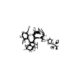 C=CS(=O)(=O)N1CC[C@@H](Oc2cnccc2-c2[nH]c3cccnc3c2-c2cc(C)ccc2F)C1